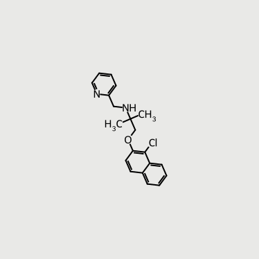 CC(C)(COc1ccc2ccccc2c1Cl)NCc1ccccn1